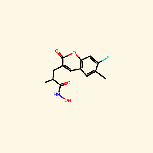 Cc1cc2cc(CC(C)C(=O)NO)c(=O)oc2cc1F